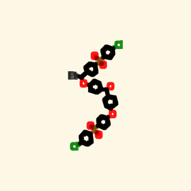 CCC(Oc1ccc(C(=O)c2ccc(Oc3ccc(S(=O)(=O)c4ccc(Cl)cc4)cc3)cc2)cc1)c1ccc(S(=O)(=O)c2ccc(Cl)cc2)cc1